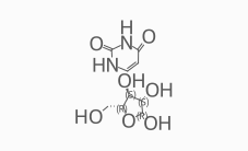 O=c1cc[nH]c(=O)[nH]1.OC[C@H]1O[C@@H](O)[C@@H](O)[C@@H]1O